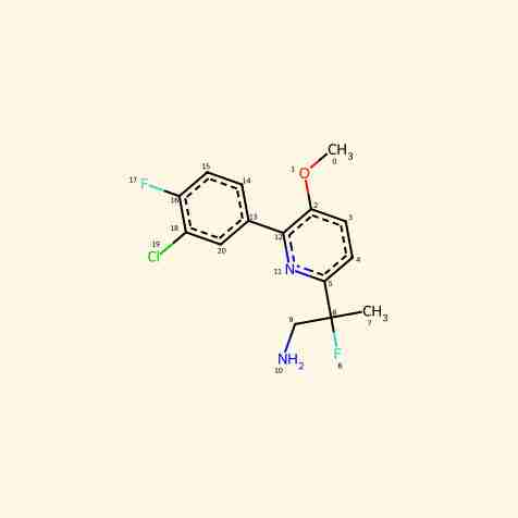 COc1ccc(C(C)(F)CN)nc1-c1ccc(F)c(Cl)c1